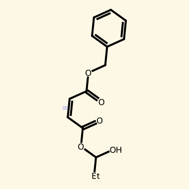 CCC(O)OC(=O)/C=C\C(=O)OCc1ccccc1